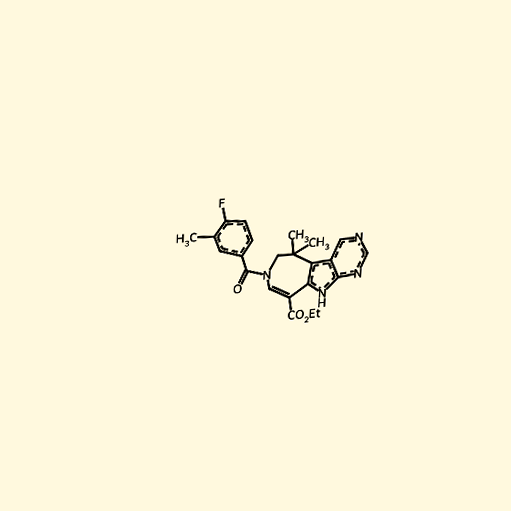 CCOC(=O)C1=CN(C(=O)c2ccc(F)c(C)c2)CC(C)(C)c2c1[nH]c1ncncc21